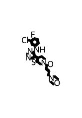 O=C(C=CCN1CCOCC1)N1CCc2c(sc3ncnc(Nc4ccc(F)c(Cl)c4)c23)C1